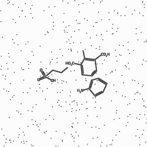 CCCS(=O)(=O)O.Cc1c(C(=O)O)cccc1C(=O)O.Nc1ccccc1